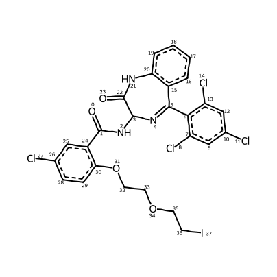 O=C(NC1N=C(c2c(Cl)cc(Cl)cc2Cl)c2ccccc2NC1=O)c1cc(Cl)ccc1OCCOCCI